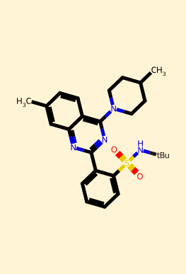 Cc1ccc2c(N3CCC(C)CC3)nc(-c3ccccc3S(=O)(=O)NC(C)(C)C)nc2c1